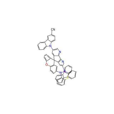 N#Cc1ccc2c(c1)c1ccccc1n2-c1cnc2c(c1)C1(c3ccccc3Oc3ccc(N4c5ccccc5Sc5ccccc54)cc31)c1cc(-n3c4ccccc4c4ccccc43)cnc1-2